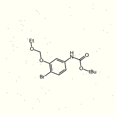 CCOCOc1cc(NC(=O)OC(C)(C)C)ccc1Br